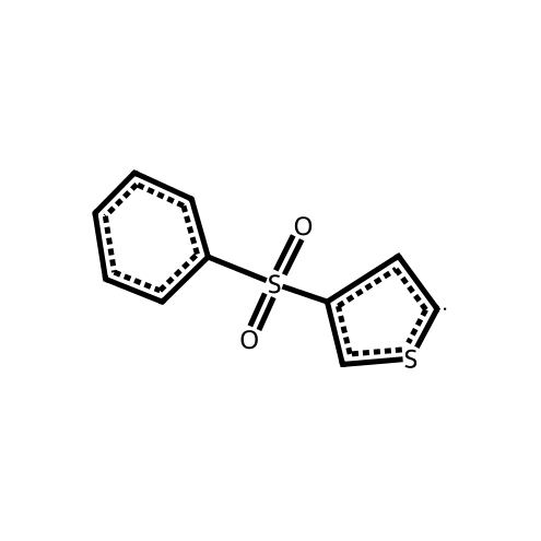 O=S(=O)(c1ccccc1)c1c[c]sc1